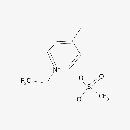 Cc1cc[n+](CC(F)(F)F)cc1.O=S(=O)([O-])C(F)(F)F